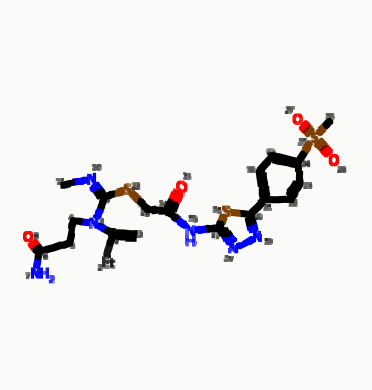 C=C(CC)N(CCC(N)=O)/C(=N\C)SCC(=O)Nc1nnc(-c2ccc(S(C)(=O)=O)cc2)s1